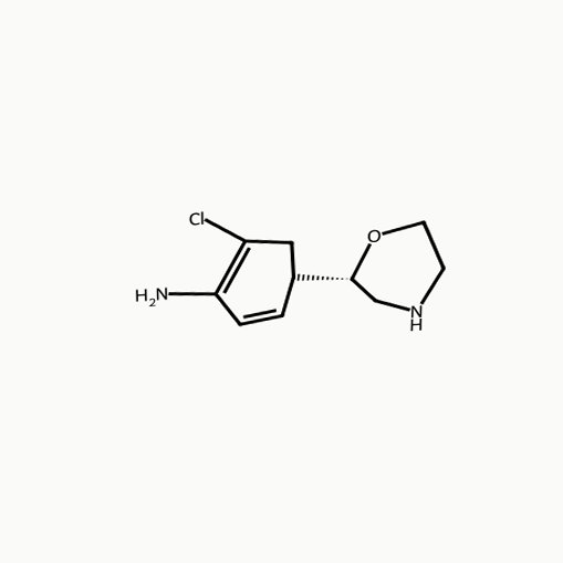 NC1=C(Cl)CC([C@H]2CNCCO2)C=C1